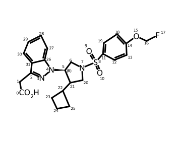 O=C(O)Cc1nn([C@H]2CN(S(=O)(=O)c3ccc(OCF)cc3)CC2C2CCC2)c2ccccc12